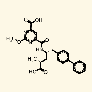 COc1nc(C(=O)O)cc(C(=O)N[C@H](Cc2ccc(-c3ccccc3)cc2)C[C@@H](C)C(=O)O)n1